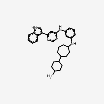 CC1CCC(C2CCCC(Nc3cccc(Nc4cc(-c5c[nH]c6ccccc56)ncn4)c3)CC2)CC1